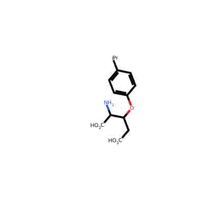 CC(C)c1ccc(OC(CC(=O)O)C(N)C(=O)O)cc1